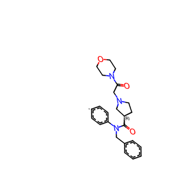 O=C(CN1CC[C@@H](C(=O)N(Cc2ccccc2)c2cc[c]cc2)C1)N1CCOCC1